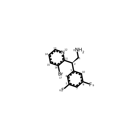 NC[C@@H](c1cc(F)cc(F)c1)c1ncccc1Br